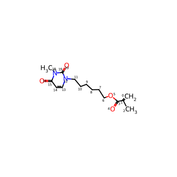 C=C(C)C(=O)OCCCCCCn1ccc(=O)n(C)c1=O